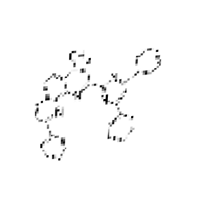 Cc1cc(-c2nc(-c3ccccc3)cc(-c3ccccc3)n2)nc2c1ccc1ccc(-c3ccccc3)nc12